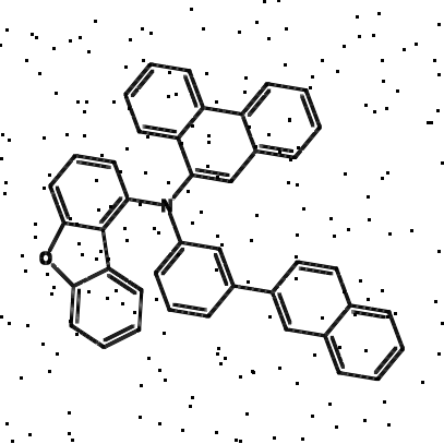 c1cc(-c2ccc3ccccc3c2)cc(N(c2cc3ccccc3c3ccccc23)c2cccc3oc4ccccc4c23)c1